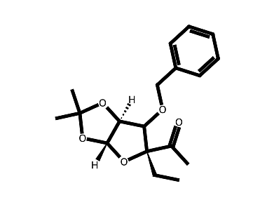 CC[C@@]1(C(C)=O)O[C@@H]2OC(C)(C)O[C@H]2C1OCc1ccccc1